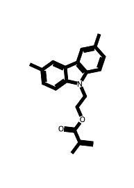 C=C(C)C(=O)OCCn1c2ccc(C)cc2c2cc(C)ccc21